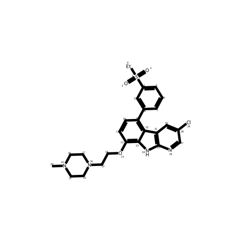 CCS(=O)(=O)c1cccc(-c2ccc(OCCN3CCN(C)CC3)c3[nH]c4ncc(Cl)cc4c23)c1